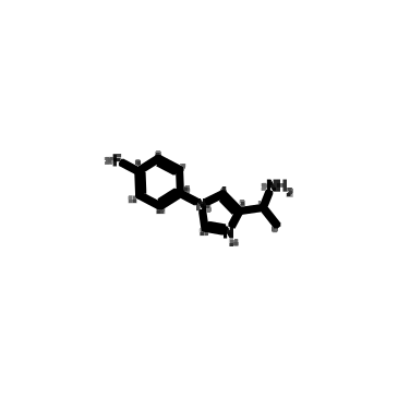 CC(N)c1cn(-c2ccc(F)cc2)cn1